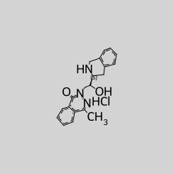 Cc1nn(CC(O)[C@@H]2Cc3ccccc3CN2)c(=O)c2ccccc12.Cl